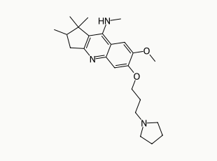 CNc1c2c(nc3cc(OCCCN4CCCC4)c(OC)cc13)CC(C)C2(C)C